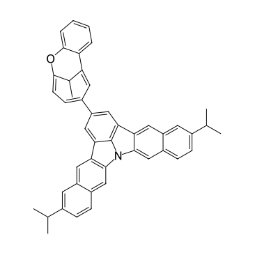 CC1C2=CC=C(c3cc4c5cc6cc(C(C)C)ccc6cc5n5c6cc7ccc(C(C)C)cc7cc6c(c3)c45)C=C1c1ccccc1O2